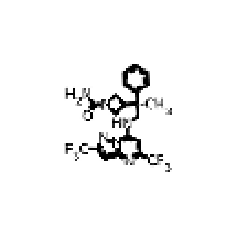 C[C@@](CNc1cc(C(F)(F)F)nc2cc(C(F)(F)F)nn12)(c1ccccc1)C1CN(C(N)=O)C1